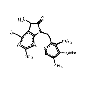 COc1c(C)cnc(CN2C(=O)C(C)c3c(Cl)nc(N)nc32)c1C